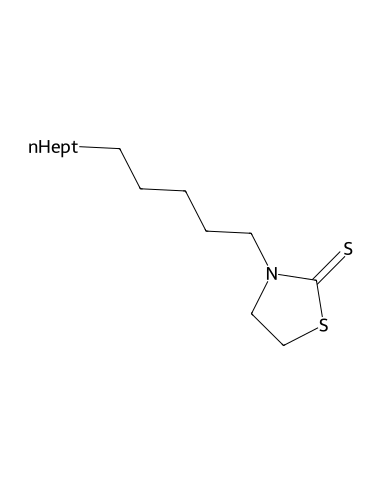 CCCCCCCCCCCCN1CCSC1=S